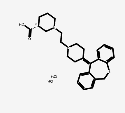 Cl.Cl.O=C(O)[C@@H]1CCCN(CCN2CCC(=C3c4ccccc4CSc4ccccc43)CC2)C1